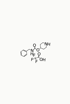 O=C(NCc1ccccc1)OC1CCNCC1.O=C(O)C(F)(F)F